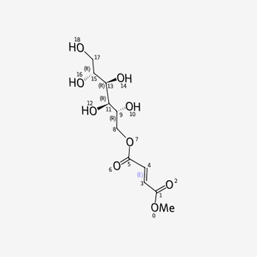 COC(=O)/C=C/C(=O)OC[C@@H](O)[C@@H](O)[C@H](O)[C@H](O)CO